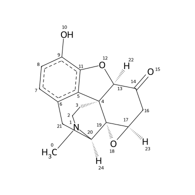 CN1CC[C@]23c4c5ccc(O)c4O[C@H]2C(=O)C[C@H]2O[C@@]23[C@H]1C5